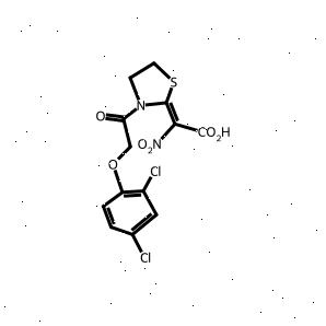 O=C(O)C(=C1SCCN1C(=O)COc1ccc(Cl)cc1Cl)[N+](=O)[O-]